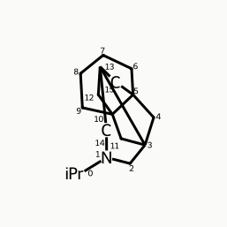 CC(C)N1CC23CC45CCCCC4(C2)CC3(C1)C5